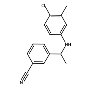 Cc1cc(NC(C)c2cccc(C#N)c2)ccc1Cl